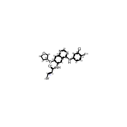 O=C(/C=C/Br)Nc1cc2c(Nc3ccc(F)c(Cl)c3)ncnc2cc1O[C@H]1CCOC1